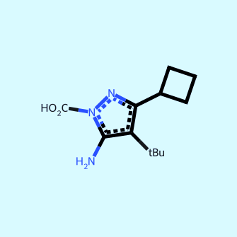 CC(C)(C)c1c(C2CCC2)nn(C(=O)O)c1N